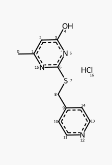 Cc1cc(O)nc(SCc2ccncc2)n1.Cl